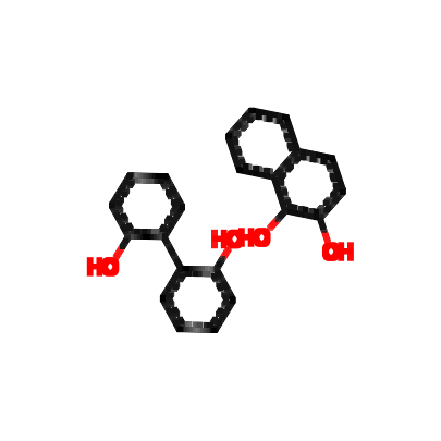 Oc1ccc2ccccc2c1O.Oc1ccccc1-c1ccccc1O